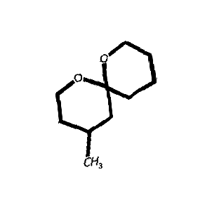 CC1CCOC2(CCCCO2)C1